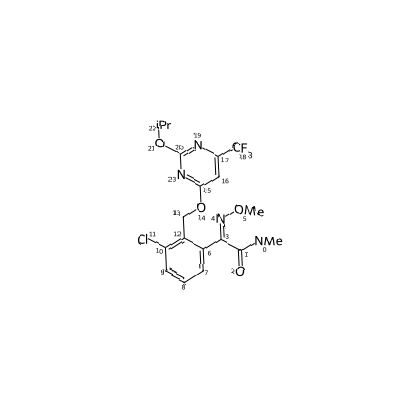 CNC(=O)C(=NOC)c1cccc(Cl)c1COc1cc(C(F)(F)F)nc(OC(C)C)n1